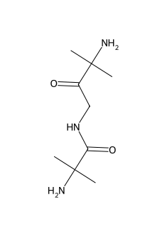 CC(C)(N)C(=O)CNC(=O)C(C)(C)N